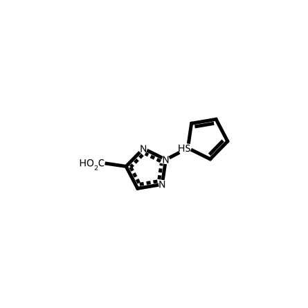 O=C(O)c1cnn([SH]2C=CC=C2)n1